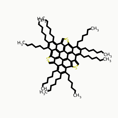 CCCCCCc1c(CCCCCC)c2c3csc4c5c(CCCCCC)c(CCCCCC)c(CCCCCC)c6c7csc8c9c(CCCCCC)c(CCCCCC)c(CCCCCC)c%10c%11csc%12c(c1CCCCCC)c2c1c(c34)c(c65)c(c78)c(c%109)c1c%11%12